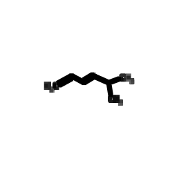 C=CC=[C]C(C)C